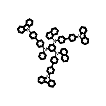 c1ccc(N(c2ccc(-c3ccc(-n4c5ccccc5c5ccccc54)cc3)cc2)c2cc(N(c3ccc(-c4ccc(-n5c6ccccc6c6ccccc65)cc4)cc3)c3cccc4ccccc34)cc(N(c3ccc(-c4ccc(-n5c6ccccc6c6ccccc65)cc4)cc3)c3cccc4ccccc34)c2)cc1